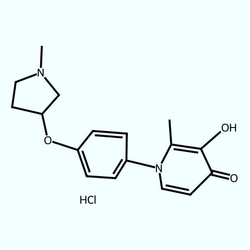 Cc1c(O)c(=O)ccn1-c1ccc(OC2CCN(C)C2)cc1.Cl